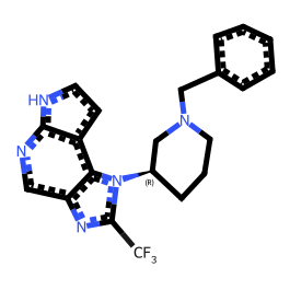 FC(F)(F)c1nc2cnc3[nH]ccc3c2n1[C@@H]1CCCN(Cc2ccccc2)C1